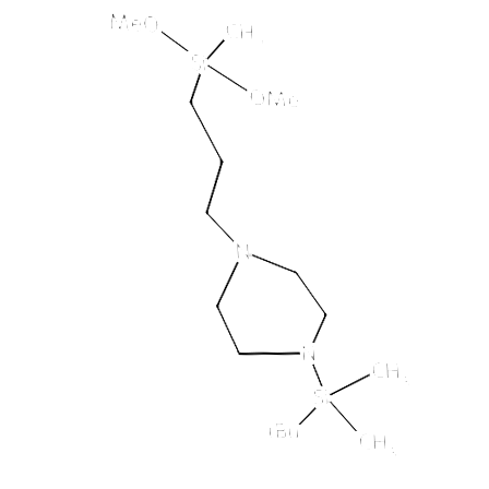 CO[Si](C)(CCCN1CCN([Si](C)(C)C(C)(C)C)CC1)OC